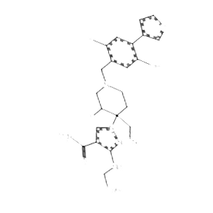 COCNc1nn(C2(CC#N)CCN(Cc3cc(O)c(-c4ccoc4)cc3F)CC2F)cc1C(N)=O